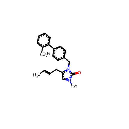 CC=CCc1cn(CCC)c(=O)n1Cc1ccc(-c2ccccc2C(=O)O)cc1